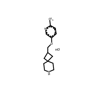 Cl.FC(F)(F)c1ccc(OCC2CC3(CCNCC3)C2)cn1